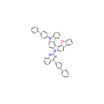 c1ccc(-c2ccc(-c3nc(-n4c5ccc6c7ccccc7oc6c5c5c6c7ccccc7n(-c7ccc(-c8ccccc8)cc7)c6ccc54)nc4ccccc34)cc2)cc1